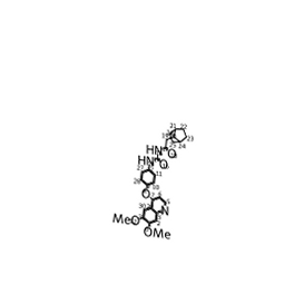 COc1cc2nccc(Oc3ccc(NC(=O)NC(=O)CC4C5CCC4CC5)cc3)c2cc1OC